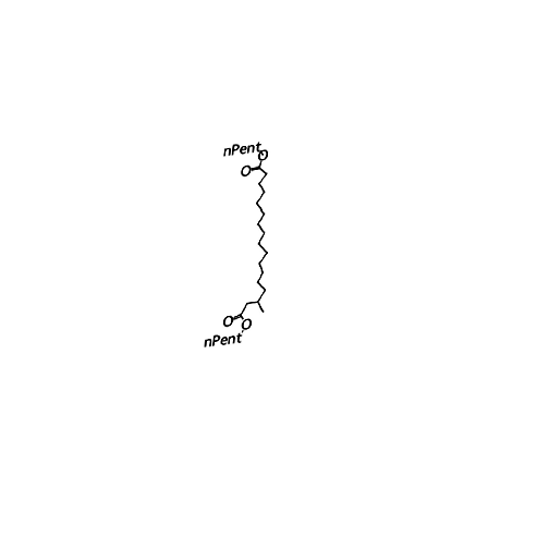 CCCCCOC(=O)CCCCCCCCCCCCCC(C)CC(=O)OCCCCC